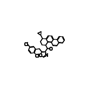 O=C(c1ncoc1Cc1cc(Cl)ccc1Cl)C1CCC(C2CC2)c2ccc3c(ccc4ccccc43)c21